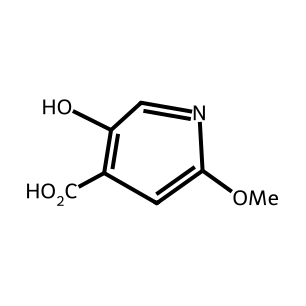 COc1cc(C(=O)O)c(O)cn1